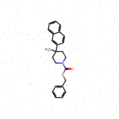 CC1(c2ccc3ccccc3c2)CCN(C(=O)OCc2ccccc2)CC1